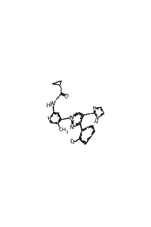 Cc1cnc(NC(=O)C2CC2)cc1-n1cc(-c2ncc[nH]2)c(-c2ccccc2Cl)n1